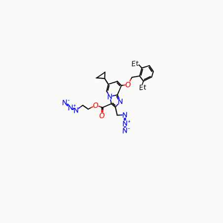 CCc1cccc(CC)c1COc1cc(C2CC2)cn2c(C(=O)OCCN=[N+]=[N-])c(CN=[N+]=[N-])nc12